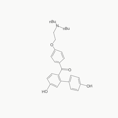 CCCCN(CCCC)CCOc1ccc(C(=O)c2ccc(O)cc2-c2ccc(O)cc2)cc1